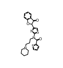 O=C1c2ccccc2OC1c1csc(N(CCCN2CCCCC2)C(=O)c2cccs2)n1